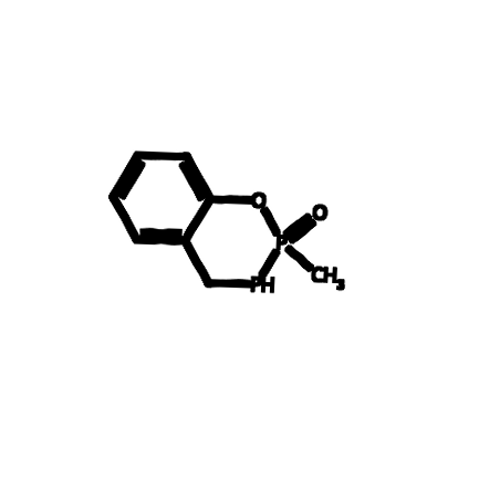 CP1(=O)Oc2ccccc2CP1